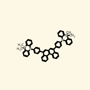 C[Si]1(C)c2ccccc2N(c2ccc(-c3cc4cc(-c5ccc(N6c7ccccc7[Si](C)(C)c7ccccc76)cc5)c5ccccc5c4c4ccccc34)cc2)c2ccccc21